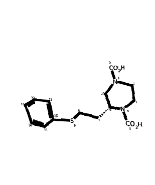 O=C(O)N1CCN(C(=O)O)[C@H](CCSc2ccccc2)C1